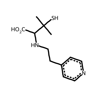 CC(C)(S)C(NCCc1ccncc1)C(=O)O